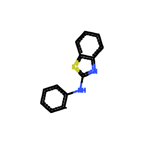 [c]1ccccc1Nc1nc2ccccc2s1